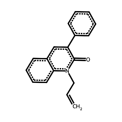 C=CCn1c(=O)c(-c2ccccc2)cc2ccccc21